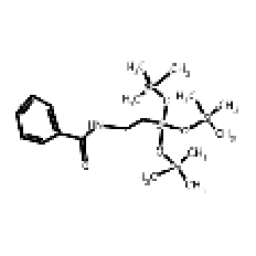 C[Si](C)(C)O[Si](CCNC(=O)c1ccccc1)(O[Si](C)(C)C)O[Si](C)(C)C